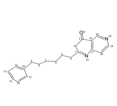 O=C1CC(CCCCCCc2ccccc2)=Nc2ccncc21